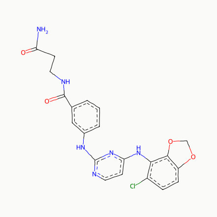 NC(=O)CCNC(=O)c1cccc(Nc2nccc(Nc3c(Cl)ccc4c3OCO4)n2)c1